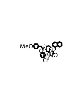 COc1ccc(CC(=O)N2[C@H](C)CCN([C@H](Cc3cccc4ccccc34)C(N)=O)C(=O)[C@@H]2c2cccc(Cl)c2)cc1